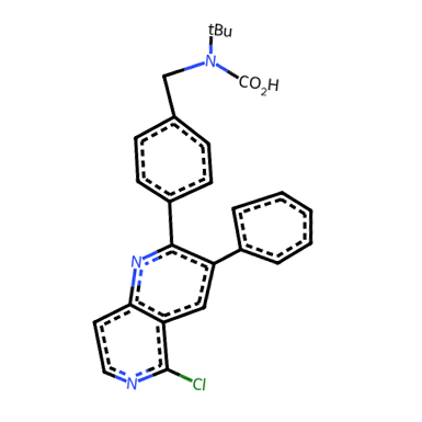 CC(C)(C)N(Cc1ccc(-c2nc3ccnc(Cl)c3cc2-c2ccccc2)cc1)C(=O)O